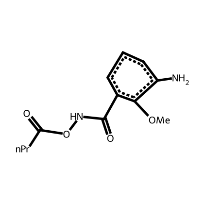 CCCC(=O)ONC(=O)c1cccc(N)c1OC